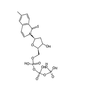 Cc1ccc2c(=S)n([C@H]3CC(O)[C@@H](COP(=O)(O)OP(=O)(O)OP(=O)(O)O)O3)ccc2c1